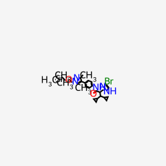 Cc1nn(COCC[Si](C)(C)C)c(C)c1-c1ccc(NC(=O)C(c2nc(Br)c[nH]2)C(C2CC2)C2CC2)cc1